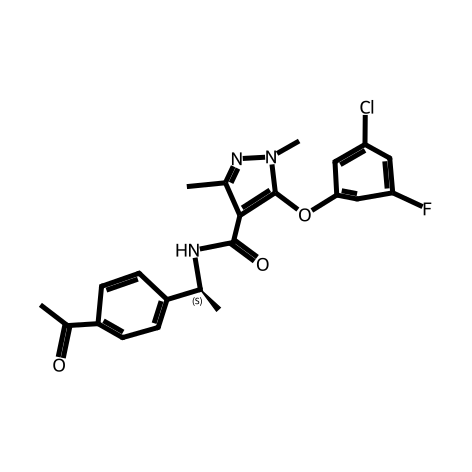 CC(=O)c1ccc([C@H](C)NC(=O)c2c(C)nn(C)c2Oc2cc(F)cc(Cl)c2)cc1